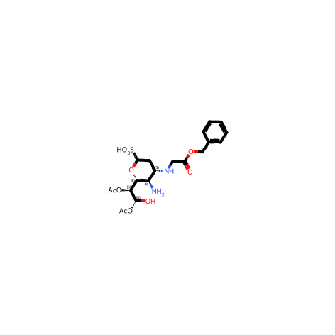 CC(=O)O[C@@H]([C@@H]1OC(S(=O)(=O)O)C[C@H](NCC(=O)OCc2ccccc2)[C@H]1N)[C@H](O)OC(C)=O